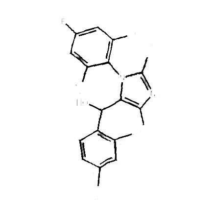 Cc1nc(Cl)n(-c2c(F)cc(F)cc2Cl)c1C(O)c1ccc(F)cc1F